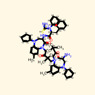 Cc1ccc2c(c1)N(CC(=O)C(C)(C)C[N+]1(CC(=O)C(C)(C)C)C(=O)C(N)CN(c3ccccc3)c3ccc(C)cc31)C(=O)C(NC(=O)[C@H](Cc1ccccc1)N(C(N)=S)c1ccccc1)CN2c1ccccc1